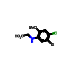 CCc1cc(NCC(=O)O)c(OC)cc1Cl